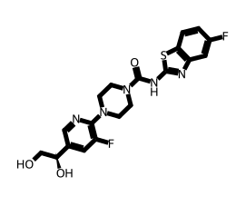 O=C(Nc1nc2cc(F)ccc2s1)N1CCN(c2ncc([C@@H](O)CO)cc2F)CC1